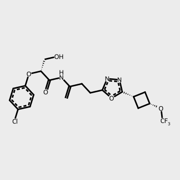 C=C(CCc1nnc([C@H]2C[C@@H](OC(F)(F)F)C2)o1)NC(=O)[C@@H](CO)Oc1ccc(Cl)cc1